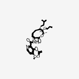 CCCO[C@@H]1[C@@H](CCC(C)C)CCC[C@H](NC(=O)c2nccc(OC)c2OC(C)=O)C(=O)O[C@H]1C